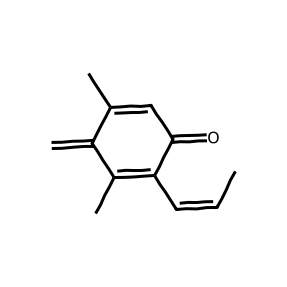 C=C1C(C)=CC(=O)C(/C=C\C)=C1C